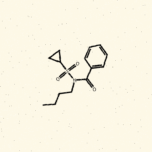 CCCCN(C(=O)c1ccccc1)S(=O)(=O)C1CC1